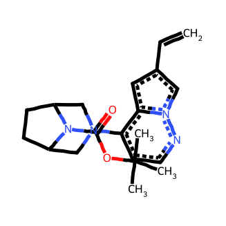 C=Cc1cc2c(N3CC4CCC(C3)N4C(=O)OC(C)(C)C)ccnn2c1